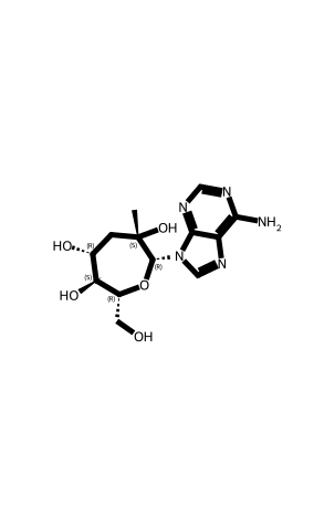 C[C@]1(O)C[C@@H](O)[C@H](O)[C@@H](CO)O[C@H]1n1cnc2c(N)ncnc21